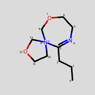 CCCC1=NCCOC[N+]12CCOC2